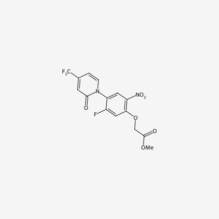 COC(=O)COc1cc(F)c(-n2ccc(C(F)(F)F)cc2=O)cc1[N+](=O)[O-]